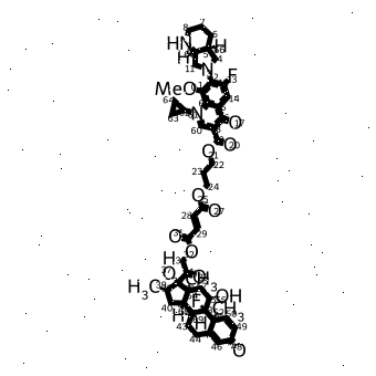 COc1c(N2C[C@H]3CCCN[C@H]3C2)c(F)cc2c(=O)c(C(=O)OCCCOC(=O)/C=C/C(=O)OCC(=O)[C@@]3(O)[C@H](C)C[C@H]4[C@@H]5CCC6=CC(=O)C=C[C@]6(C)[C@@]5(F)[C@@H](O)C[C@@]43C)cn(C3CC3)c12